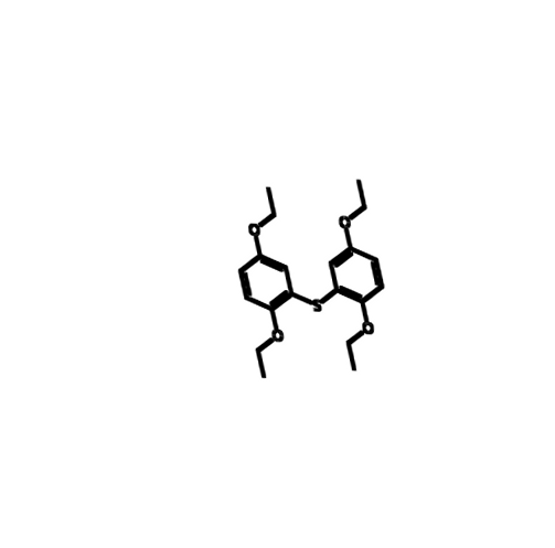 CCOc1ccc(OCC)c(Sc2cc(OCC)ccc2OCC)c1